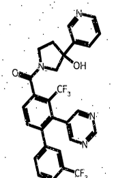 O=C(c1ccc(-c2cccc(C(F)(F)F)c2)c(-c2cncnc2)c1C(F)(F)F)N1CCC(O)(c2cccnc2)C1